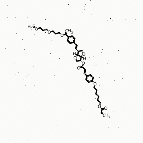 C=CC(=O)OCCCCCCOc1ccc(/C=C/C(=O)O[C@@H]2CO[C@H]3[C@@H]2OC[C@@H]3C=Cc2ccc(C(=C)OCCCOCCCOC)cc2)cc1